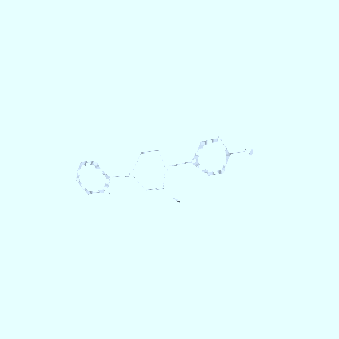 C[C@H]1CN(c2ccccn2)CCN1c1ccc(N)nc1